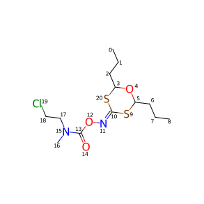 CCCC1OC(CCC)SC(=NOC(=O)N(C)CCCl)S1